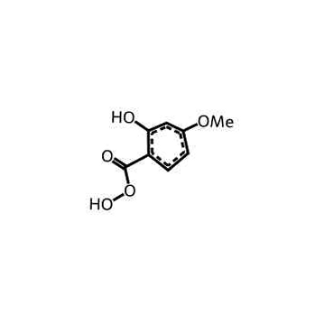 COc1ccc(C(=O)OO)c(O)c1